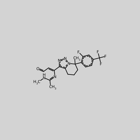 CN/C(C)=N\C(=C/C=O)c1nnn2c1CCCC2(C)c1ccc(C(F)(F)F)cc1F